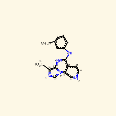 COc1cccc(Nc2nc3c(C(=O)O)ncn3c3cnccc23)c1